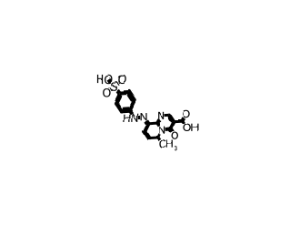 CC1CC/C(=N\Nc2ccc(S(=O)(=O)O)cc2)c2ncc(C(=O)O)c(=O)n21